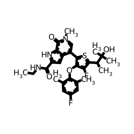 CCNC(=O)c1cc2c(-c3sc(C(C)C(C)(C)O)c(F)c3Oc3c(C)cc(F)cc3C)cn(C)c(=O)c2[nH]1